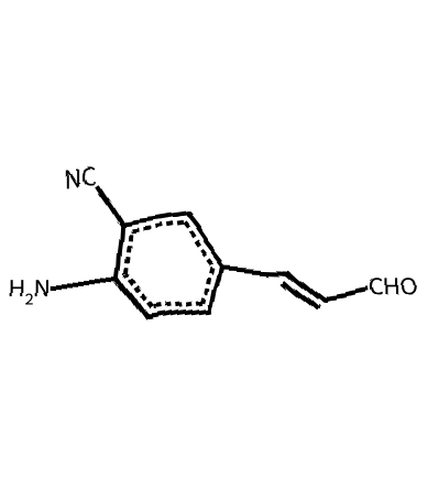 N#Cc1cc(C=CC=O)ccc1N